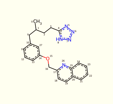 CC(CCc1nnn[nH]1)Cc1cccc(OCc2ccc3ccccc3n2)c1